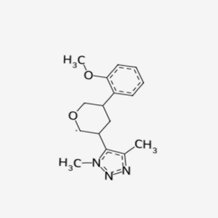 COc1ccccc1C1CO[CH]C(c2c(C)nnn2C)C1